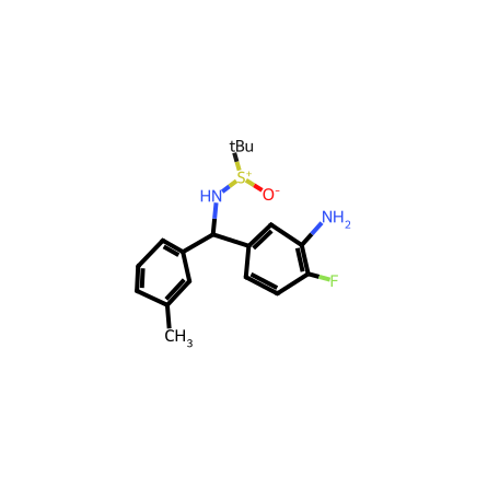 Cc1cccc(C(N[S+]([O-])C(C)(C)C)c2ccc(F)c(N)c2)c1